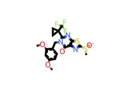 COc1ccc(Cn2c(C3(C(F)(F)F)CC3)nc3sc([S+](C)[O-])nc3c2=O)c(OC)c1